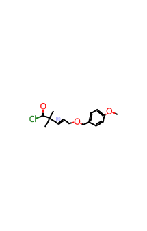 COc1ccc(COC/C=C/C(C)(C)C(=O)Cl)cc1